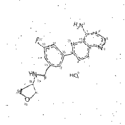 Cl.Nc1ncnc2ccc(-c3cc(F)cc(CNC4COC4)c3)nc12